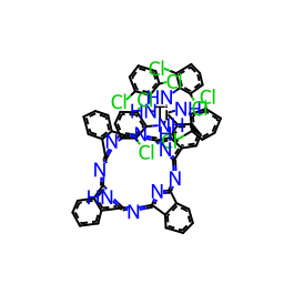 Clc1cccc(Cl)c1[NH][Ti]([NH]c1c(Cl)cccc1Cl)([NH]c1c(Cl)cccc1Cl)([NH]c1c(Cl)cccc1Cl)[c]1cccc2c3nc4nc(nc5[nH]c(nc6nc(nc([nH]3)c12)-c1ccccc1-6)c1ccccc51)-c1ccccc1-4